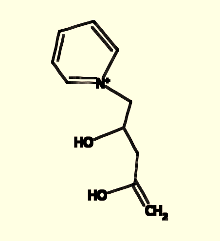 C=C(O)CC(O)C[n+]1ccccc1